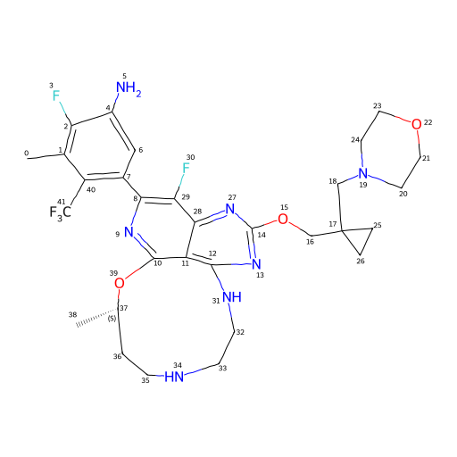 Cc1c(F)c(N)cc(-c2nc3c4c(nc(OCC5(CN6CCOCC6)CC5)nc4c2F)NCCNCC[C@H](C)O3)c1C(F)(F)F